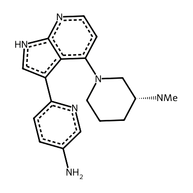 CN[C@@H]1CCCN(c2ccnc3[nH]cc(-c4ccc(N)cn4)c23)C1